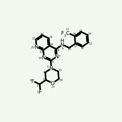 FC(F)C1CN(c2nc(NCc3ccccc3C(F)(F)F)c3cccnc3n2)CCO1